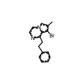 Cc1cn2ccnc(CCc3ccccc3)c2c1Br